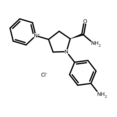 NC(=O)[C@@H]1CC([n+]2ccccc2)CN1c1ccc(N)cc1.[Cl-]